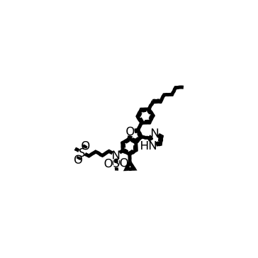 CCCCC=Cc1ccc(-c2oc3cc(N(CCCCS(C)(=O)=O)S(C)(=O)=O)c(C4CC4)cc3c2-c2ncc[nH]2)cc1